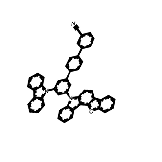 N#Cc1cccc(-c2ccc(-c3cc(-n4c5ccccc5c5ccccc54)cc(-n4c5ccccc5c5c6oc7ccccc7c6ccc54)c3)cc2)c1